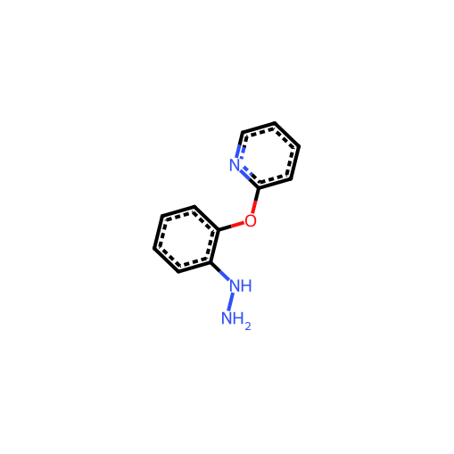 NNc1ccccc1Oc1ccccn1